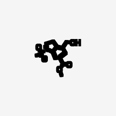 COC(=O)c1cc(CO)c2c(c1)N(S(C)(=O)=O)CC2